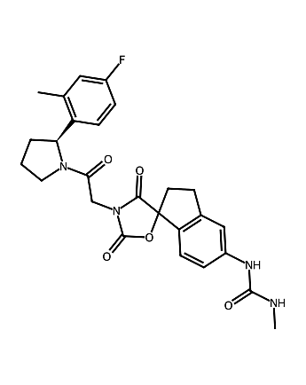 CNC(=O)Nc1ccc2c(c1)CCC21OC(=O)N(CC(=O)N2CCC[C@H]2c2ccc(F)cc2C)C1=O